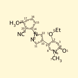 CCOc1cc(=O)n(C)cc1-c1cnn(-c2cccc(C)c2C#N)c1